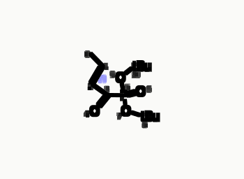 C/C=C/C(=O)P(=O)(OC(C)(C)C)OC(C)(C)C